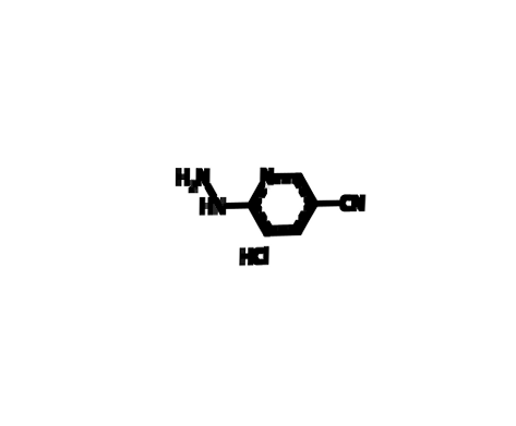 Cl.N#Cc1ccc(NN)nc1